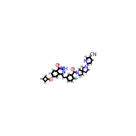 N#Cc1ccc(N2CCC3(CCN(C(=O)c4cc(Cc5n[nH]c(=O)c6ccc(OC7CCC7)cc56)ccc4F)C3)C2)nc1